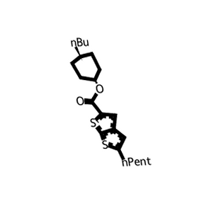 CCCCCc1cc2cc(C(=O)O[C@H]3CC[C@H](CCCC)CC3)sc2s1